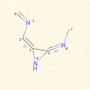 C=N/C=C1/N/C1=N/C